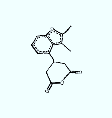 Cc1oc2cccc(C3CC(=O)OC(=O)C3)c2c1C